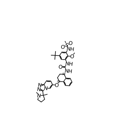 COc1c(NC(=O)N[C@H]2CC[C@H](Oc3ccc4nnc(C5(C)CCCN5C)n4c3)c3ccccc32)cc(C(C)(C)C)cc1NS(C)(=O)=O